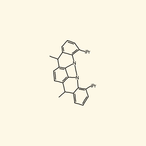 CC(C)c1cccc2c1-n1c3c(ccc4c3n1-c1c(C(C)C)cccc1C4C)C2C